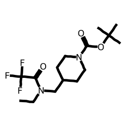 CCN(CC1CCN(C(=O)OC(C)(C)C)CC1)C(=O)C(F)(F)F